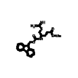 CC(C)(C)OC(=O)CCC(CSC(=N)N)NC(=O)OCC1c2ccccc2-c2ccccc21